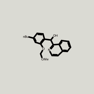 CCCCc1ccc(C(O)c2nccc3ccccc23)c(OCOC)c1